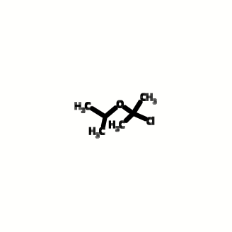 CC(C)OC(C)(C)Cl